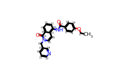 CCOc1ccc(C(=O)Nc2cccc3c(=O)n(Cc4cccnc4)ccc23)cc1